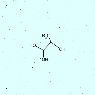 CC(O)[C](O)O